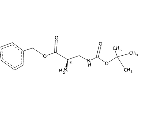 CC(C)(C)OC(=O)NC[C@@H](N)C(=O)OCc1ccccc1